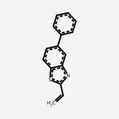 C=Cc1nc2cc(-c3ccccc3)ccc2s1